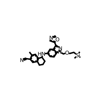 Cc1cc2c(cc1C#N)CCCC2Nc1ccc2c(c1)c(-c1cnco1)nn2COCC[Si](C)(C)C